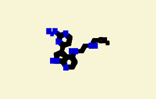 CCNCCNc1ccnc2[nH]cc(-c3ccnc(N)n3)c12